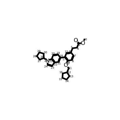 COC(=O)CCc1ccc(OCC2CCCC2)c(-c2ccc3c(ccn3C3CCCC3)c2)c1